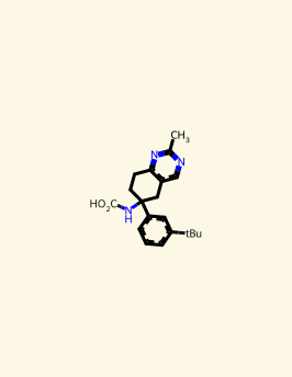 Cc1ncc2c(n1)CCC(NC(=O)O)(c1cccc(C(C)(C)C)c1)C2